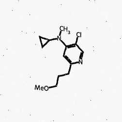 COCCCc1cc(N(C)C2CC2)c(Cl)cn1